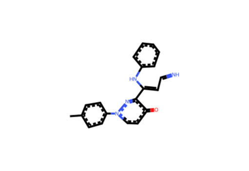 Cc1ccc(-n2ccc(=O)c(/C(=C/C=N)Nc3ccccc3)n2)cc1